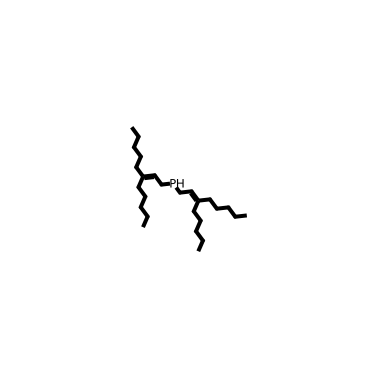 CCCCCC(=CCPCC=C(CCCCC)CCCCC)CCCCC